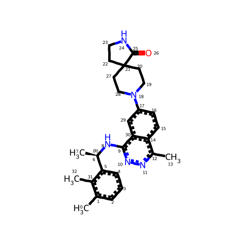 Cc1cccc([C@@H](C)Nc2nnc(C)c3ccc(N4CCC5(CCNC5=O)CC4)cc23)c1C